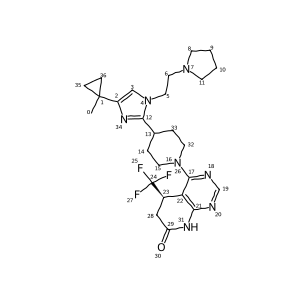 CC1(c2cn(CCN3CCCC3)c(C3CCN(c4ncnc5c4[C@H](C(F)(F)F)CC(=O)N5)CC3)n2)CC1